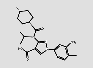 Cc1ccc(-n2cc(C(=O)O)c(N(C(=O)[C@H]3CC[C@H](C)CC3)C(C)C)n2)cc1N